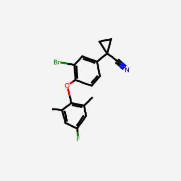 Cc1cc(F)cc(C)c1Oc1ccc(C2(C#N)CC2)cc1Br